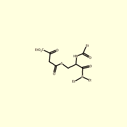 CCOC(=O)C(=O)CC(=O)SCC(NC(=O)CC)C(=O)N(CC)CC